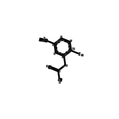 CCC(=O)Cc1cc(OC)ccc1I